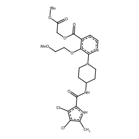 COCCOc1c(C(=O)OCC(=O)OC(C)(C)C)ccnc1N1CCC(NC(=O)c2[nH]c(C)c(Cl)c2Cl)CC1